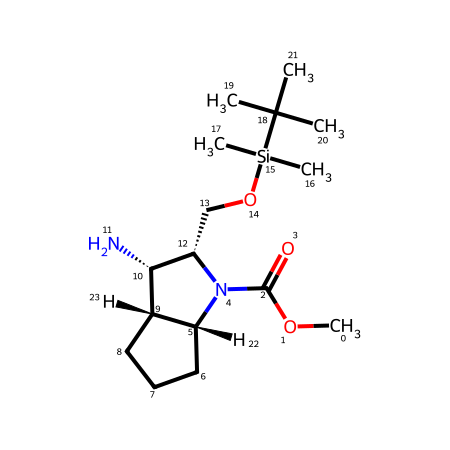 COC(=O)N1[C@@H]2CCC[C@@H]2[C@H](N)[C@@H]1CO[Si](C)(C)C(C)(C)C